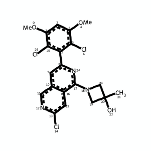 COc1cc(OC)c(Cl)c(-c2cc3cnc(Cl)cc3c(N3CC(C)(O)C3)n2)c1Cl